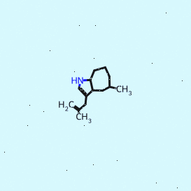 C=C(C)CC1=CNC2CCCC(C)CC12